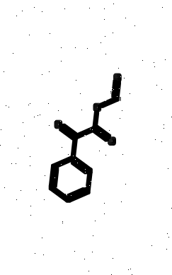 O=[C]OC(=O)C(=O)c1ccccc1